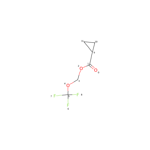 O=C(OCOC(F)(F)F)C1CC1